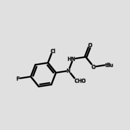 CC(C)(C)OC(=O)NN(C=O)c1ccc(F)cc1Cl